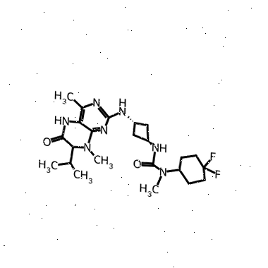 Cc1nc(N[C@H]2C[C@H](NC(=O)N(C)C3CCC(F)(F)CC3)C2)nc2c1NC(=O)C(C(C)C)N2C